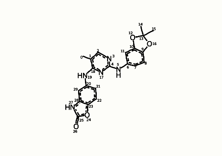 Cc1cnc(Nc2ccc3c(c2)OC(C)(C)O3)nc1Nc1ccc2oc(=O)[nH]c2c1